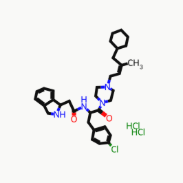 CC(=CCN1CCN(C(=O)C(Cc2ccc(Cl)cc2)NC(=O)CC2NCc3ccccc32)CC1)CC1CCCCC1.Cl.Cl